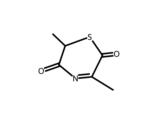 CC1=NC(=O)C(C)SC1=O